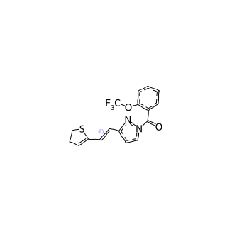 O=C(c1ccccc1OC(F)(F)F)n1ccc(/C=C/C2=CCCS2)n1